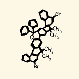 CC1(C)c2cc3c(cc2-c2c1cc(Br)c1ccccc21)OC(c1ccccc1)(c1ccccc1)c1cc2c(cc1-3)C(C)(C)c1cc(Br)c3ccccc3c1-2